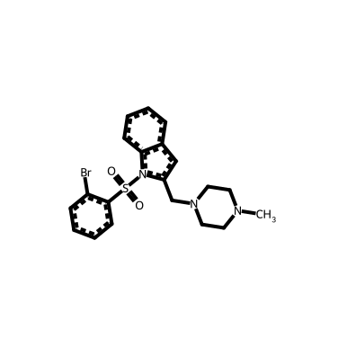 CN1CCN(Cc2cc3ccccc3n2S(=O)(=O)c2ccccc2Br)CC1